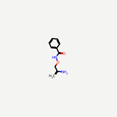 C=C(N)CONC(=O)c1ccccc1